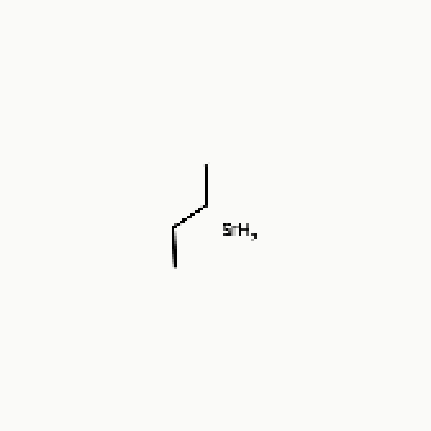 [CH2]CCC.[SrH2]